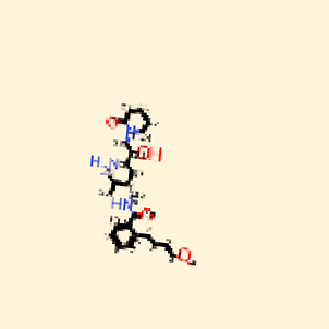 COCCCCc1ccccc1C(=O)NC[C@@H](C[C@H](N)[C@@H](O)CN1CCCCC1=O)C(C)C